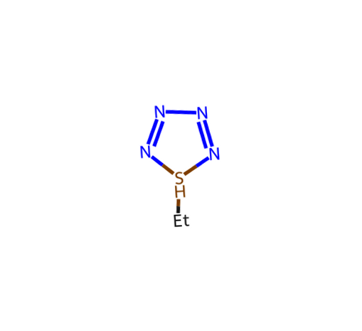 CC[SH]1N=NN=N1